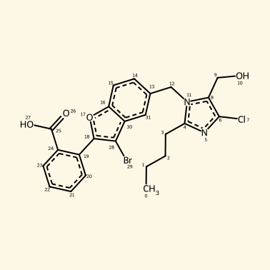 CCCCc1nc(Cl)c(CO)n1Cc1ccc2oc(-c3ccccc3C(=O)O)c(Br)c2c1